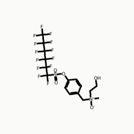 C[N+]([O-])(CCO)Cc1ccc(OS(=O)(=O)C(F)(F)C(F)(F)C(F)(F)C(F)(F)C(F)(F)C(F)(F)F)cc1